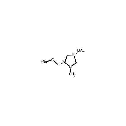 CC(=O)O[C@H]1C[C@@H](COC(C)(C)C)N(C)C1